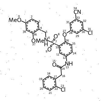 COc1ccc(CNS(=O)(=O)c2cc(NC(=O)Cc3ccccc3Cl)ccc2Oc2cc(Cl)cc(C#N)c2)c(OC)c1